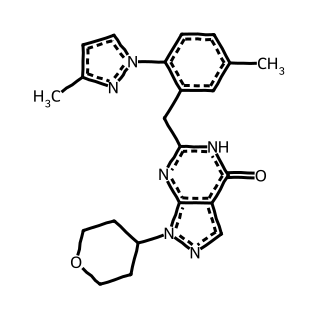 Cc1ccc(-n2ccc(C)n2)c(Cc2nc3c(cnn3C3CCOCC3)c(=O)[nH]2)c1